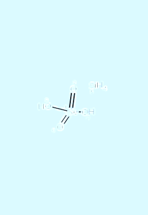 O=[Se](=O)(O)O.[SiH4]